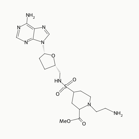 COC(=O)C1CC(S(=O)(=O)NC[C@@H]2CC[C@H](n3cnc4c(N)ncnc43)O2)CCN1CCN